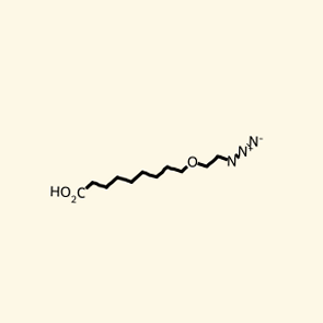 [N-]=[N+]=NCCOCCCCCCCCC(=O)O